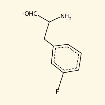 NC([C]=O)Cc1cccc(F)c1